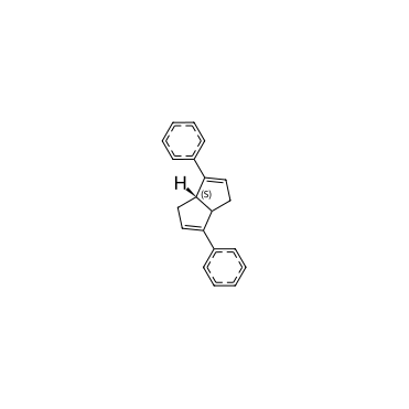 C1=C(c2ccccc2)C2CC=C(c3ccccc3)[C@H]2C1